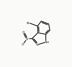 O=[N+]([O-])c1n[nH]c2cccc(Br)c12